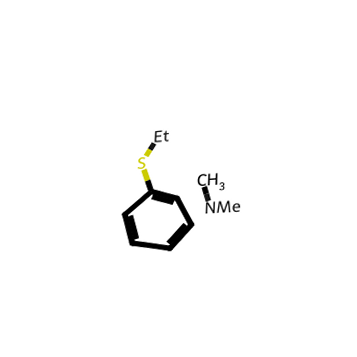 CCSc1ccccc1.CNC